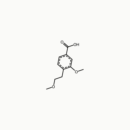 COCCc1ccc(C(=O)O)cc1OC